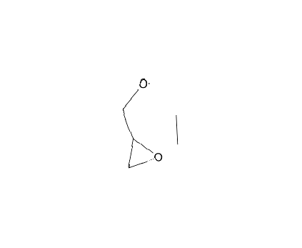 CC.[O]CC1CO1